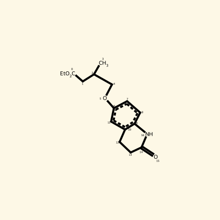 CCOC(=O)CC(C)COc1ccc2c(c1)CCC(=O)N2